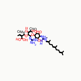 C/C=C(\C(O)O)C(OC)OC(/C(O)=C(\C)C=O)C1N=C(N)NC2C(O)C(NC(=N)N(C)/C=C(\C)CC/C=C(\C)CCC=C(C)C)C(O)C(O)C2O1